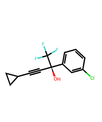 O[C@](C#CC1CC1)(c1cccc(Cl)c1)C(F)(F)F